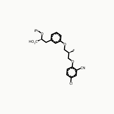 CC(C)O[C@@H](Cc1cccc(OC[C@@H](F)COc2ccc(Cl)cc2C#N)c1)C(=O)O